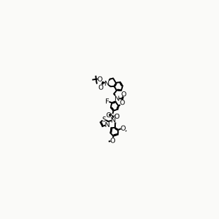 COc1ccc(CN(c2nccs2)S(=O)(=O)c2cc(F)c3c(c2)oc(=O)n3Cc2cccc3c2CN(C(=O)OC(C)(C)C)CC3)c(OC)c1